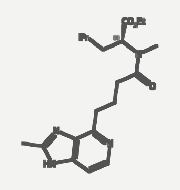 CCOC(=O)[C@H](CC(C)C)N(C)C(=O)CCCc1nccc2[nH]c(C)nc12